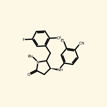 CCC(C)N1C(=O)C[C@H](Nc2ccc(C#N)c(Cl)c2)C1Cc1cc(F)ccc1C(F)(F)F